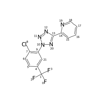 FC(F)(F)c1ccc(Cl)c(-n2nnc(-c3ccccn3)n2)c1